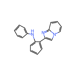 c1ccc(Nc2ccccc2-c2cn3ccccc3n2)cc1